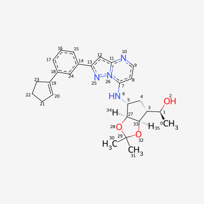 C[C@H](O)[C@H]1C[C@@H](Nc2ccnc3cc(-c4cccc(C5=CCCC5)c4)nn23)[C@@H]2OC(C)(C)O[C@H]12